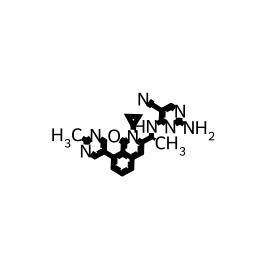 Cc1ncc(-c2cccc3cc([C@H](C)Nc4nc(N)ncc4C#N)n(C4CC4)c(=O)c23)cn1